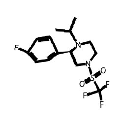 CC(C)N1CCN(S(=O)(=O)C(F)(F)F)C[C@H]1c1ccc(F)cc1